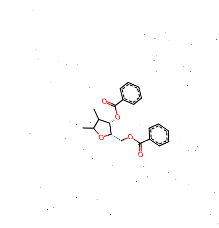 CC1O[C@@H](COC(=O)c2ccccc2)[C@@H](OC(=O)c2ccccc2)C1C